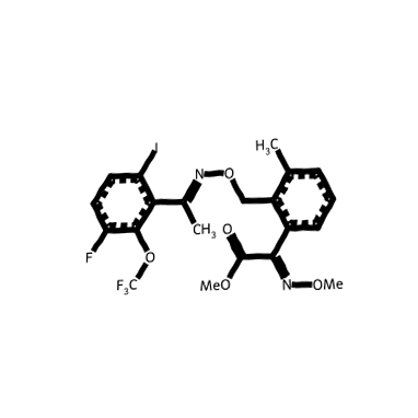 CO/N=C(/C(=O)OC)c1cccc(C)c1CO/N=C(\C)c1c(I)ccc(F)c1OC(F)(F)F